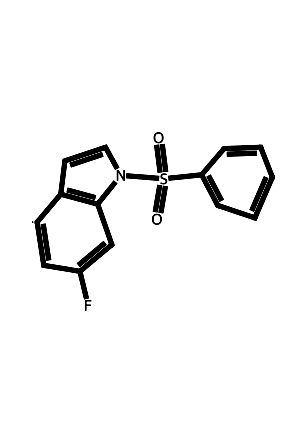 O=S(=O)(c1ccccc1)n1ccc2[c]cc(F)cc21